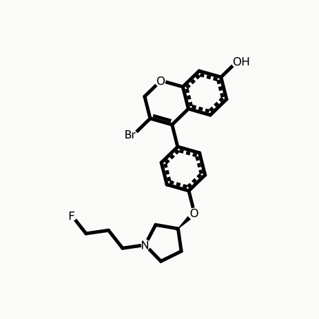 Oc1ccc2c(c1)OCC(Br)=C2c1ccc(O[C@H]2CCN(CCCF)C2)cc1